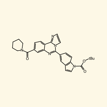 CC(C)(C)OC(=O)n1ccc2cc(-c3nc4cc(C(=O)N5CCCCC5)ccc4c4nccn34)ccc21